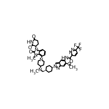 COc1cc2nn([C@H]3CC[C@H](CN(C)C4CCN(c5cccc6c5n(C)c(=O)n6C5CCC(=O)NC5=O)CC4)CC3)cc2cc1NC(=O)c1ccc(C(F)(F)F)nn1